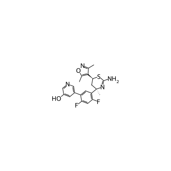 Cc1noc(C)c1[C@@H]1C[C@](C)(c2cc(-c3cncc(O)c3)c(F)cc2F)N=C(N)S1